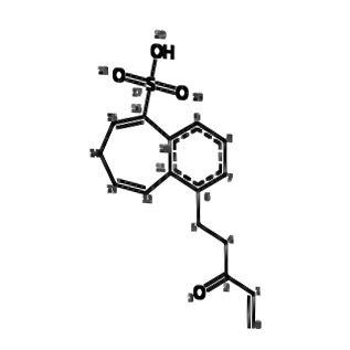 C=CC(=O)CCc1cccc2c1C=CCC=C2S(=O)(=O)O